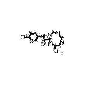 C=C1/C=N\C=N/C/N=C(/C(=O)Nc2ccc(Cl)nc2)N1